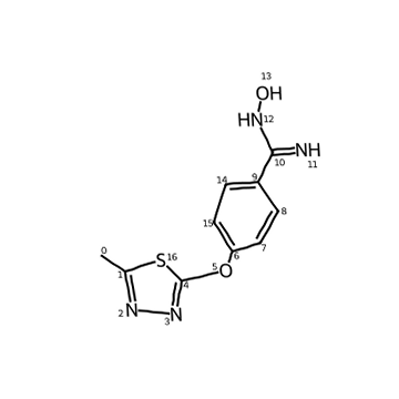 Cc1nnc(Oc2ccc(C(=N)NO)cc2)s1